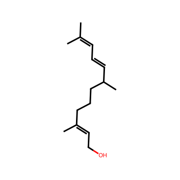 CC(C)=CC=CC(C)CCCC(C)=CCO